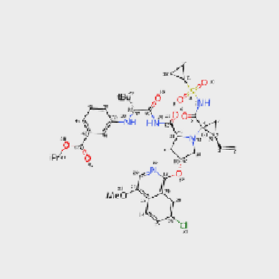 C=C[C@@H]1C[C@@]1(C(=O)NS(=O)(=O)C1CC1)N1C[C@H](Oc2ncc(OC)c3ccc(Cl)cc23)C[C@H]1C(=O)NC(=O)[C@H](Nc1cccc(C(=O)OC(C)C)c1)C(C)(C)C